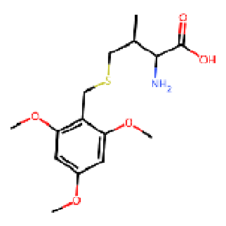 COc1cc(OC)c(CSCC(C)C(N)C(=O)O)c(OC)c1